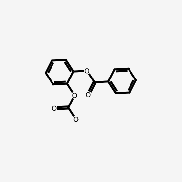 [O]C(=O)Oc1ccccc1OC(=O)c1ccccc1